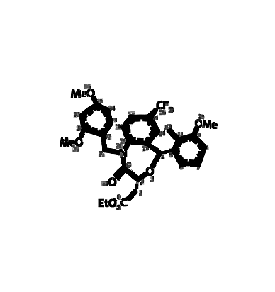 CCOC(=O)C[C@H]1O[C@H](c2cccc(OC)c2C)c2cc(C(F)(F)F)ccc2N(Cc2ccc(OC)cc2OC)C1=O